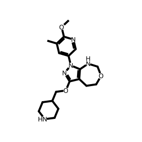 COc1ncc(-n2nc(OCC3CCNCC3)c3c2NCOCC3)cc1C